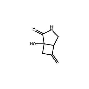 C=C1CC2(O)C(=O)NCC12